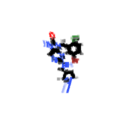 O=c1[nH]c2cnc(NC[C@@H]3CCNC3)nc2n1Cc1cc(Br)ccc1Cl